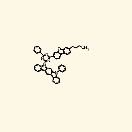 CCCCc1ccc2c(c1)oc1cc(-c3nc(-c4ccccc4)nc(-n4c5ccccc5c5cc6c7ccccc7n(-c7ccccc7)c6cc54)n3)ccc12